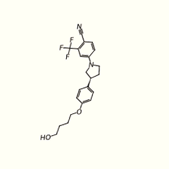 N#Cc1ccc(N2CC[C@@H](c3ccc(OCCCCO)cc3)C2)cc1C(F)(F)F